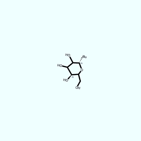 CCC(C)[C@@H]1OC(CO)[C@@H](O)C(O)C1O